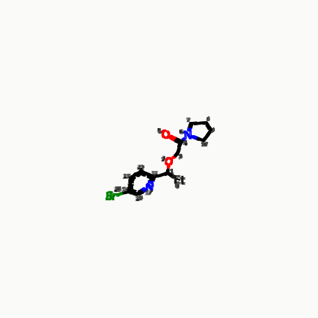 CCC(OCC(=O)N1CCCC1)c1ccc(Br)cn1